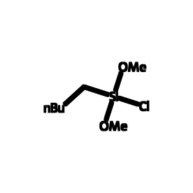 CCCCC[Si](Cl)(OC)OC